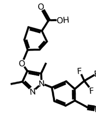 Cc1nn(-c2ccc(C#N)c(C(F)(F)F)c2)c(C)c1Oc1ccc(C(=O)O)cc1